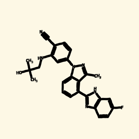 Cc1nn(-c2ccc(C#N)c(NCC(C)(C)O)c2)c2cccc(-c3nc4ccc(F)cc4[nH]3)c12